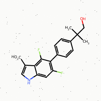 CC(C)(CO)c1ccc(-c2c(F)cc3[nH]cc(C(=O)O)c3c2F)cc1